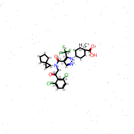 C[C@]1(C(=O)O)CC[C@H](n2ncc(C(=O)N(CC(=O)c3c(Cl)cccc3Cl)[C@@H]3CC34CCCC4)c2C(F)(F)F)CC1